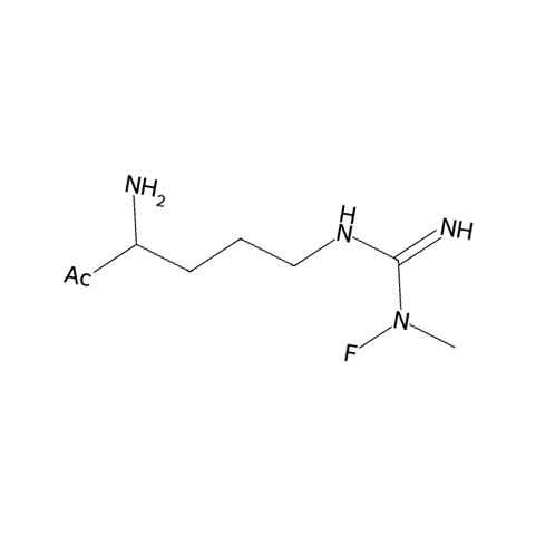 CC(=O)C(N)CCCNC(=N)N(C)F